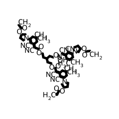 C=CC(=O)OC1CCN(C2=C(C#N)/C(=C(\C#N)C(=O)OCCC(CCOC(=O)/C(C#N)=C3\CC(C)(C)CC(N4CCC(OC(=O)C=C)C4)=C3C#N)CCON(O)/C(C#N)=C3\CC(C)(C)CC(N4CCC(OC(=O)C=C)C4)=C3C#N)CC(C)(C)C2)C1